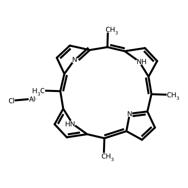 Cc1c2nc(c(C)c3ccc([nH]3)c(C)c3nc(c(C)c4ccc1[nH]4)C=C3)C=C2.[Al][Cl]